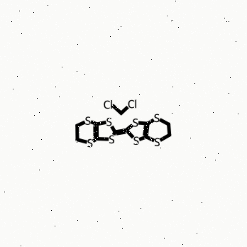 C1CSC2=C(S1)SC(=C1SC3=C(SCCS3)S1)S2.ClCCl